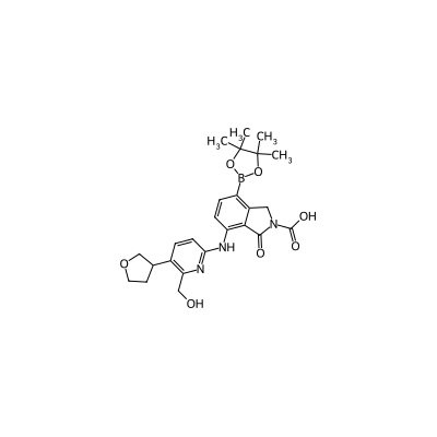 CC1(C)OB(c2ccc(Nc3ccc(C4CCOC4)c(CO)n3)c3c2CN(C(=O)O)C3=O)OC1(C)C